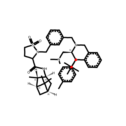 Cc1ccc(Oc2ccccc2CN(Cc2cccc(CN3C(C(=O)N[C@H]4C[C@H]5C[C@@H]([C@@H]4C)C5(C)C)CCS3(=O)=O)c2)[C@H](CN(C)C)CC(C)(C)C)cc1